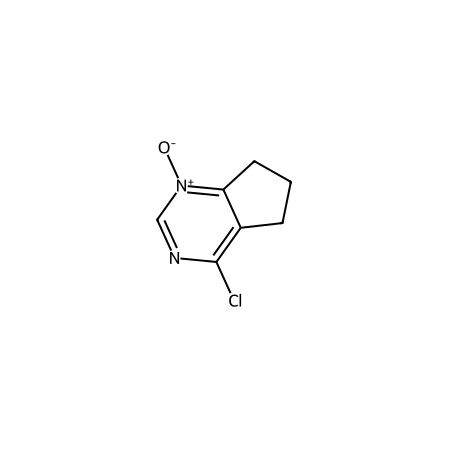 [O-][n+]1cnc(Cl)c2c1CCC2